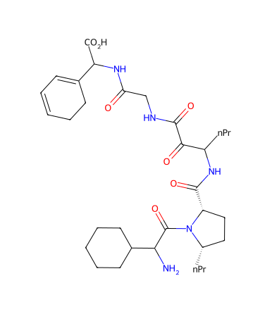 CCCC(NC(=O)[C@@H]1CC[C@H](CCC)N1C(=O)C(N)C1CCCCC1)C(=O)C(=O)NCC(=O)NC(C(=O)O)C1=CC=CCC1